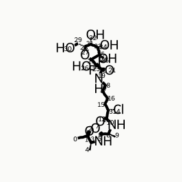 CC(=O)[C@H](C)NC(=O)[C@H](C)NC(=O)[C@@H](Cl)CCCCNC(=O)C(F)(F)C1(O)O[C@H](CO)[C@H](O)[C@H](O)[C@H]1O